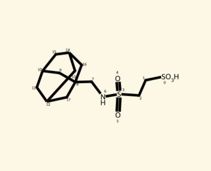 O=S(=O)(O)CCS(=O)(=O)NCC12CC3CC(CC(C3)C1)C2